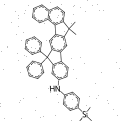 CC1(C)c2cc3c(cc2-c2c1ccc1ccccc21)C(c1ccccc1)(c1ccccc1)c1cc(Nc2ccc([Si](C)(C)C)cc2)ccc1-3